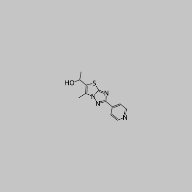 Cc1c(C(C)O)sc2nc(-c3ccncc3)nn12